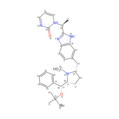 C[C@@H](c1nc2ccc(C[C@@H]3CC[C@H]([C@H](O[Si](C)(C)C(C)(C)C)c4ccccc4)N3C(=O)O)cc2[nH]1)n1cccnc1=O